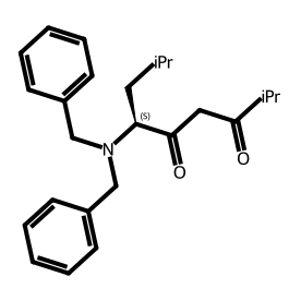 CC(C)C[C@@H](C(=O)CC(=O)C(C)C)N(Cc1ccccc1)Cc1ccccc1